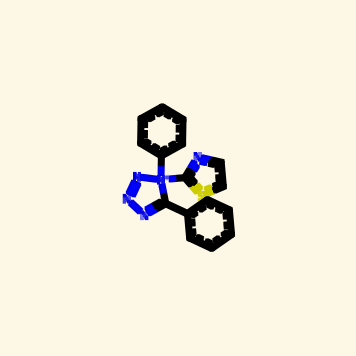 c1ccc(C2=NN=N[N+]2(c2ccccc2)c2nccs2)cc1